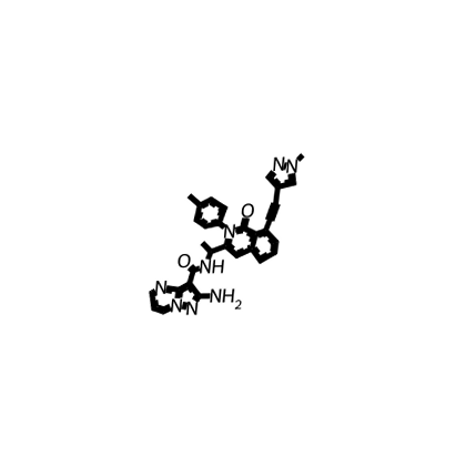 Cc1ccc(-n2c(C(C)NC(=O)c3c(N)nn4cccnc34)cc3cccc(C#Cc4cnn(C)c4)c3c2=O)cc1